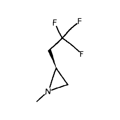 CN1C[C@@H]1CC(F)(F)F